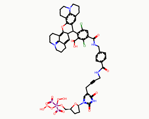 O=C(NCC#CCc1cn([C@H]2CC[C@@H](COP(OO)(OOO)(P(=O)=O)P(=O)=O)O2)c(=O)[nH]c1=O)c1ccc(CNC(=O)c2cc(Cl)c(C3c4cc5c6c(c4OC4=C7CCC[N+]8=C7C(=CC43)CCC8)CCCN6CCC5)c(C(=O)O)c2Cl)cc1